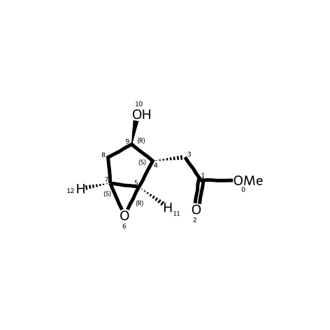 COC(=O)C[C@@H]1[C@H]2O[C@H]2C[C@H]1O